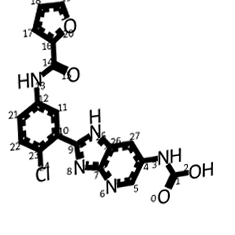 O=C(O)Nc1cnc2nc(-c3cc(NC(=O)c4ccco4)ccc3Cl)[nH]c2c1